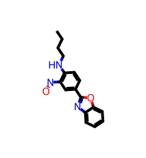 CCCCNc1ccc(-c2nc3ccccc3o2)cc1N=O